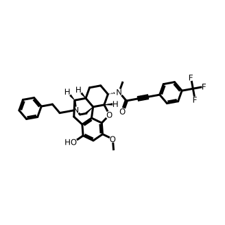 COc1cc(O)c2c3c1O[C@H]1[C@@H](N(C)C(=O)C#Cc4ccc(C(F)(F)F)cc4)CC[C@H]4[C@@H](C2)N(CCc2ccccc2)CC[C@@]341